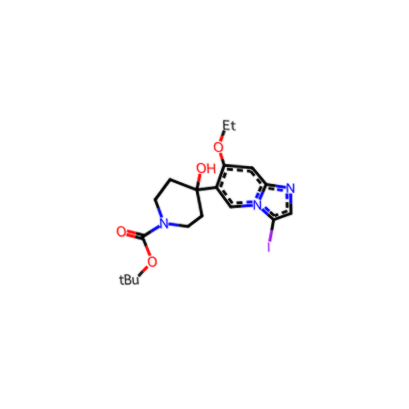 CCOc1cc2ncc(I)n2cc1C1(O)CCN(C(=O)OC(C)(C)C)CC1